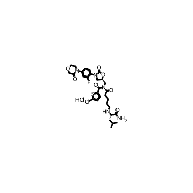 CC(C)C[C@H](NCCCCC(=O)N(C[C@H]1CN(c2ccc(N3CCOCC3=O)cc2F)C(=O)O1)C(=O)c1ccc(Cl)s1)C(N)=O.Cl